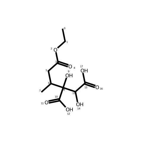 CCOC(=O)CC(C)C(O)(C(=O)O)C(O)C(=O)O